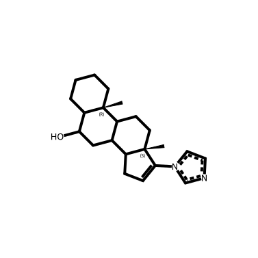 C[C@]12CCCCC1C(O)CC1C2CC[C@]2(C)C(n3ccnc3)=CCC12